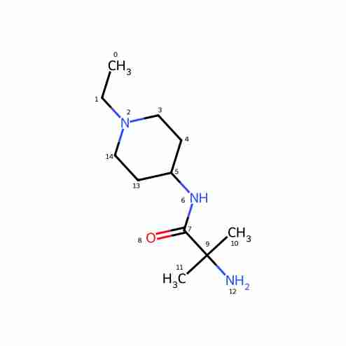 CCN1CCC(NC(=O)C(C)(C)N)CC1